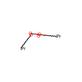 CC(C)CCCCCCCCCCCCCCCCCOC(=O)CCCCCCCC(=O)OCCCCCCCCCCCCCCCCCC(C)C